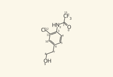 O=C(Nc1ccc(CCO)cc1Cl)C(F)(F)F